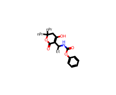 CCCC1(CCC)CC(O)=C(C(CC)NC(=O)Oc2ccccc2)C(=O)O1